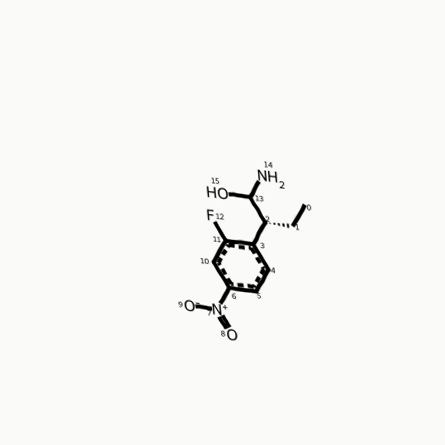 CC[C@H](c1ccc([N+](=O)[O-])cc1F)C(N)O